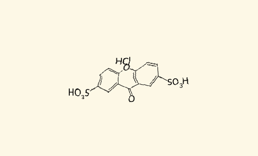 Cl.O=c1c2cc(S(=O)(=O)O)ccc2oc2ccc(S(=O)(=O)O)cc12